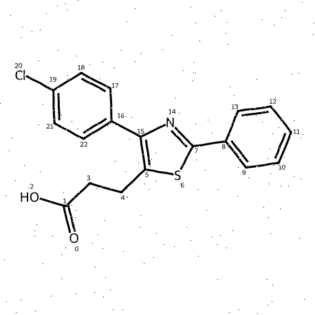 O=C(O)CCc1sc(-c2ccccc2)nc1-c1ccc(Cl)cc1